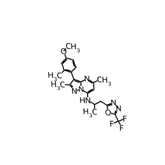 COc1ccc(-c2c(C)nn3c(NC(C)Cc4nnc(C(F)(F)F)o4)cc(C)nc23)c(C)c1